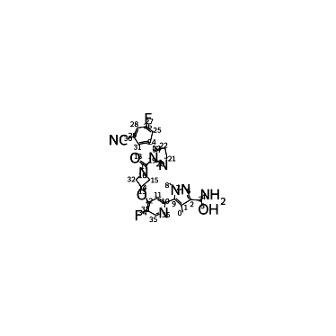 Cc1c(C(N)O)nn(C)c1-c1cc(OC2CN(C(=O)N3N=CC[C@H]3c3cc(F)cc(C#N)c3)C2)c(F)cn1